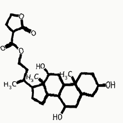 CC(CCOC(=O)C1CCOC1=O)C1CCC2C3C(O)CC4CC(O)CCC4(C)C3CC(O)C12C